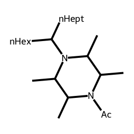 CCCCCCCC(CCCCCC)N1C(C)C(C)N(C(C)=O)C(C)C1C